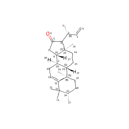 C=C[C@@H](C)C1C(=O)C[C@H]2[C@@H]3CC=C4C(C)(C)[C@@H](C)CC[C@]4(C)[C@H]3CC[C@]12C